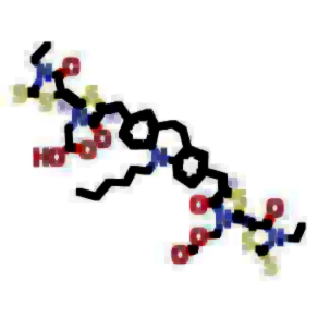 CCCCCCN1c2ccc(/C=c3/s/c(=C4/SC(=S)N(CC)C4=O)n(COC=O)c3=O)cc2CCc2cc(/C=c3/s/c(=C4/SC(=S)N(CC)C4=O)n(CC(=O)O)c3=O)ccc21